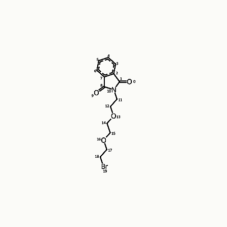 O=C1c2ccccc2C(=O)N1CCOCCOCCBr